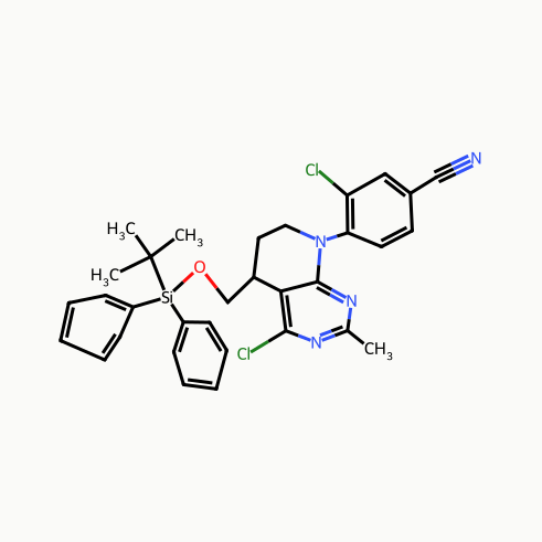 Cc1nc(Cl)c2c(n1)N(c1ccc(C#N)cc1Cl)CCC2CO[Si](c1ccccc1)(c1ccccc1)C(C)(C)C